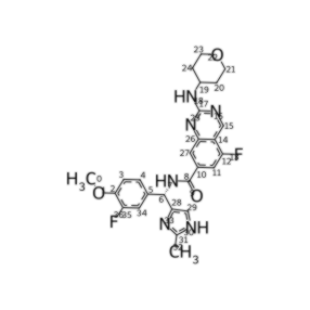 COc1ccc([C@H](NC(=O)c2cc(F)c3cnc(NC4CCOCC4)nc3c2)c2c[nH]c(C)n2)cc1F